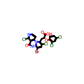 NC(=O)c1c(N2CC(Br)=CC(Cl)=C2CC(Oc2ccc(Cl)cc2Cl)C(=O)O)ccnc1Cl